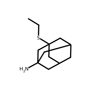 CCSC12CC3CC(CC(N)(C3)C1)C2